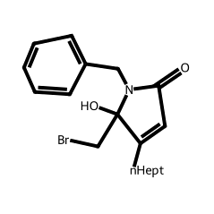 CCCCCCCC1=CC(=O)N(Cc2ccccc2)C1(O)CBr